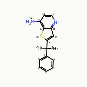 [2H]C([2H])(c1ccccc1)c1cc2nccc(N)c2s1